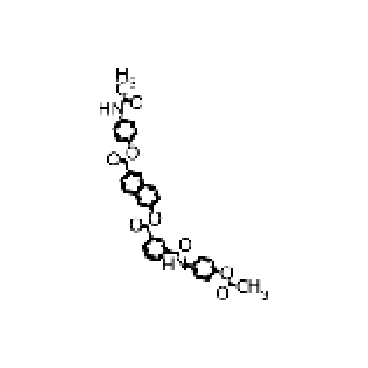 CC(=O)Nc1ccc(OC(=O)c2ccc3cc(OC(=O)c4cccc(C(=O)Nc5ccc(OC(C)=O)cc5)c4)ccc3c2)cc1